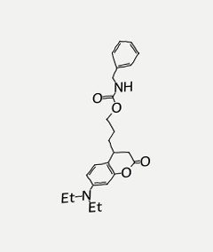 CCN(CC)c1ccc2c(c1)OC(=O)CC2CCCOC(=O)NCc1ccccc1